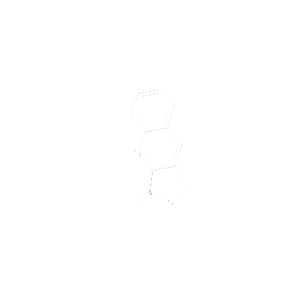 C=C1NCc2cc3ccccc3nc21